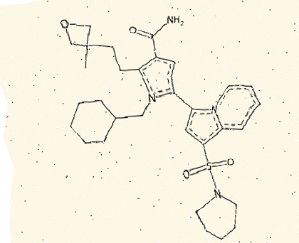 CC1(CCc2c(C(N)=O)cc(-c3cc(S(=O)(=O)N4CCCCC4)c4ccccn34)n2CC2CCCCC2)COC1